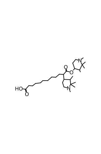 CC1C(OC(=O)C(CCCCCCCCCC(=O)O)C2CCN(C)C(C)(C)C2C)CCN(C)C1(C)C